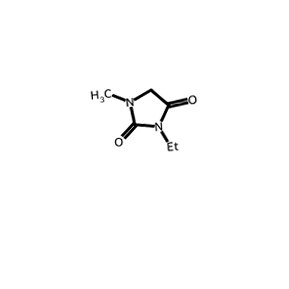 CCN1C(=O)CN(C)C1=O